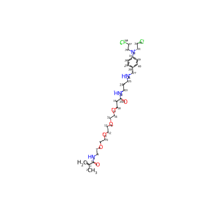 C=C(C)C(=O)NCCOCCOCCOCCOCCC(=O)NCCCNCc1ccc(N(CCCl)CCCl)cc1